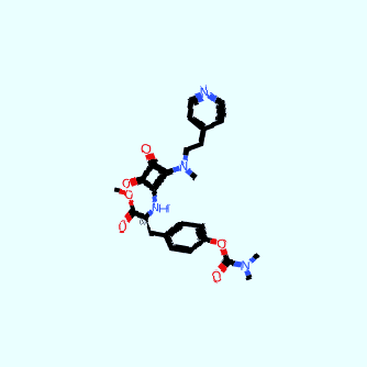 COC(=O)[C@H](Cc1ccc(OC(=O)N(C)C)cc1)Nc1c(N(C)CCc2ccncc2)c(=O)c1=O